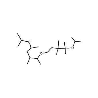 CC(C)OC(C)CC(C)C(C)OCCC(C)(C)C(C)(C)OC(C)C